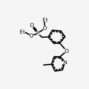 CCOP(=O)(Cc1cccc(Oc2cc(C)ccn2)c1)OCC